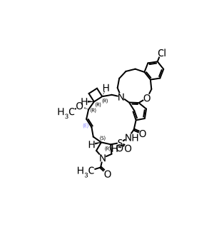 CO[C@H]1/C=C/C[C@H]2CN(C(C)=O)C[C@@H]2S(=O)(=O)NC(=O)c2ccc3c(c2)N(CCCCc2cc(Cl)ccc2CO3)C[C@@H]2CC[C@H]21